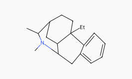 CCC12CCC3CC1C(Cc1ccccc12)N(C)C3C